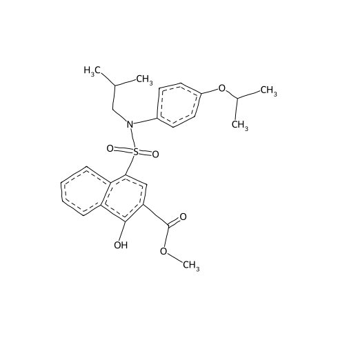 COC(=O)c1cc(S(=O)(=O)N(CC(C)C)c2ccc(OC(C)C)cc2)c2ccccc2c1O